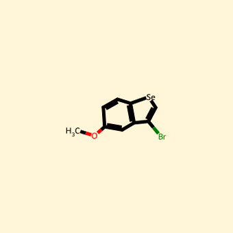 COc1ccc2[se]cc(Br)c2c1